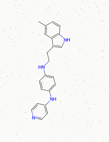 Cc1ccc2[nH]cc(CCNc3ccc(Nc4ccncc4)cc3)c2c1